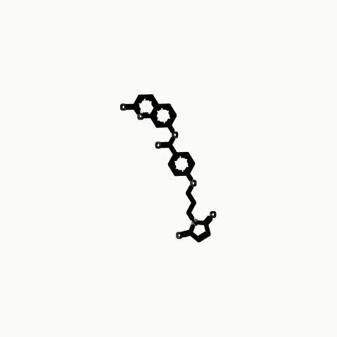 O=C(Oc1ccc2ccc(=O)oc2c1)c1ccc(OCCCN2C(=O)C=CC2=O)cc1